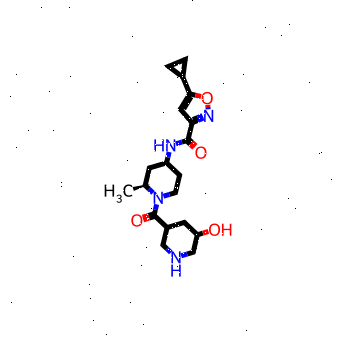 C[C@H]1CC(NC(=O)c2cc(C3CC3)on2)CCN1C(=O)C1CNCC(O)C1